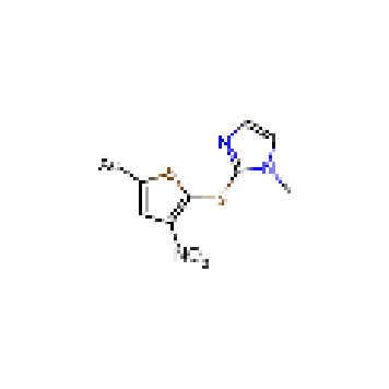 CC(=O)c1cc([N+](=O)[O-])c(Sc2nccn2C)s1